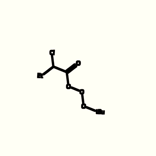 CCC(Cl)C(=O)OOOC(C)(C)C